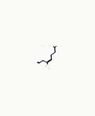 C=CC/C(N)=C\CCC(C)C